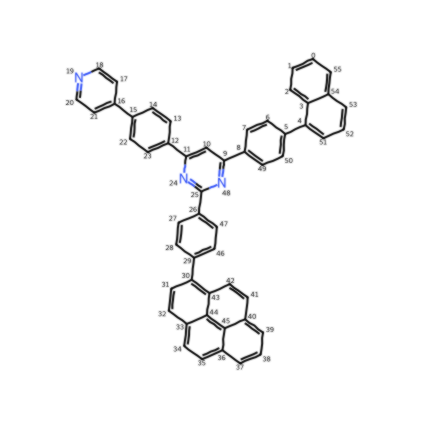 c1ccc2c(-c3ccc(-c4cc(-c5ccc(-c6ccncc6)cc5)nc(-c5ccc(-c6ccc7ccc8cccc9ccc6c7c89)cc5)n4)cc3)cccc2c1